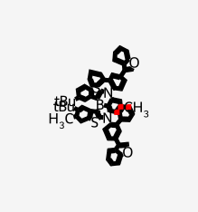 Cc1cc2c3c(c1)N(c1ccc(-c4coc5ccccc45)cc1-c1ccccc1)c1sc4ccc(C(C)(C)C)cc4c1B3c1c(sc3c1C=C(C(C)(C)C)C(C)C3)N2c1ccc(-c2coc3ccccc23)cc1-c1ccccc1